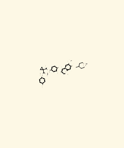 COc1cc2c(Oc3ccc(NC(=O)C4(C(=O)Nc5ccc(F)cc5)CC4)cc3Cl)ccnc2cc1OCC1CCN(C)CC1